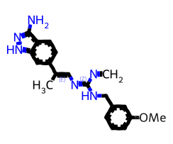 C=N/C(=N\C=C(/C)c1ccc2c(N)n[nH]c2c1)NCc1cccc(OC)c1